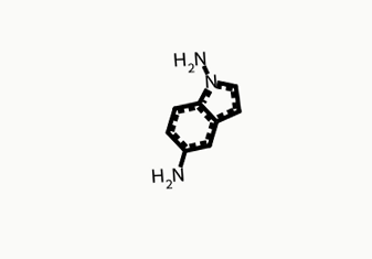 Nc1ccc2c(ccn2N)c1